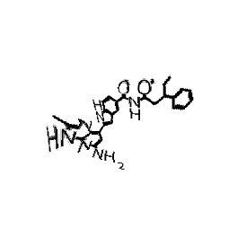 CCC(CC(NC(=O)c1ccc2[nH]c(-c3cc(N)nc4[nH]c(C)nc34)cc2c1)OC)c1ccccc1